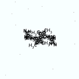 Cc1ccc(C2(c3ccc(C)cc3)C3=CCC(c4ccc(-c5ccc(C=C(C#N)C#N)c6nsnc56)s4)=CC=C3c3cc4c(cc32)-c2cc3cc(-c5ccc(-c6ccc(C=C(C#N)C#N)c7nsnc67)s5)sc3cc2C4(c2ccc(C)cc2)c2ccc(C)cc2)cc1